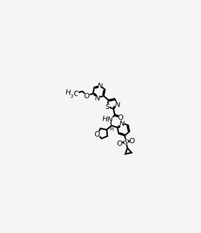 CCOc1cncc(-c2cnc(C(=O)N[C@@H](c3cc(S(=O)(=O)C4CC4)ccn3)C3CCOC3)s2)n1